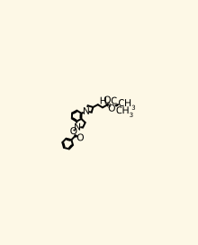 CC(C)(C)OC(=O)CCC1CN(c2cccc3c2CCN3OC(=O)c2ccccc2)C1